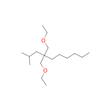 CCCCCCC(COCC)(COCC)CC(C)C